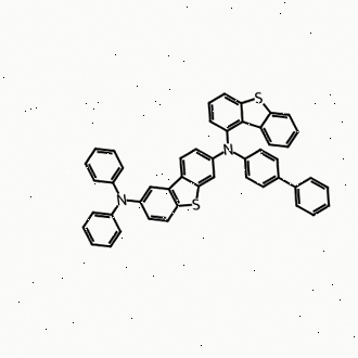 c1ccc(-c2ccc(N(c3ccc4c(c3)sc3ccc(N(c5ccccc5)c5ccccc5)cc34)c3cccc4sc5ccccc5c34)cc2)cc1